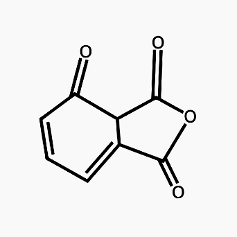 O=C1OC(=O)C2C(=O)C=CC=C12